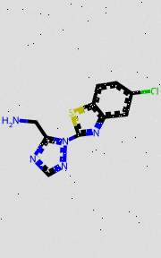 NCc1ncnn1-c1nc2cc(Cl)ccc2s1